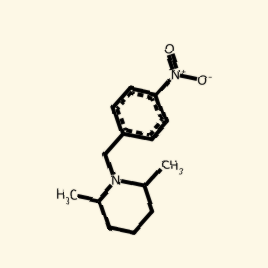 CC1CCCC(C)N1Cc1ccc([N+](=O)[O-])cc1